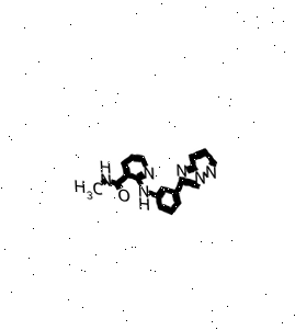 CNC(=O)c1cccnc1Nc1cccc(-c2cn3ncccc3n2)c1